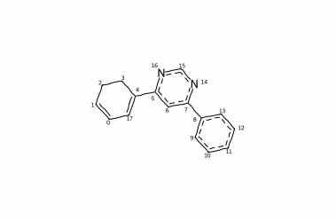 C1=CCCC(c2cc(-c3ccccc3)ncn2)=C1